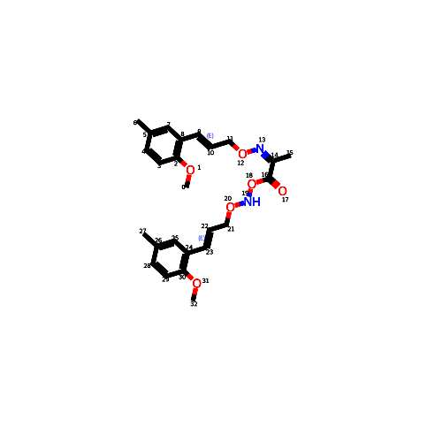 COc1ccc(C)cc1/C=C/CON=C(C)C(=O)ONOC/C=C/c1cc(C)ccc1OC